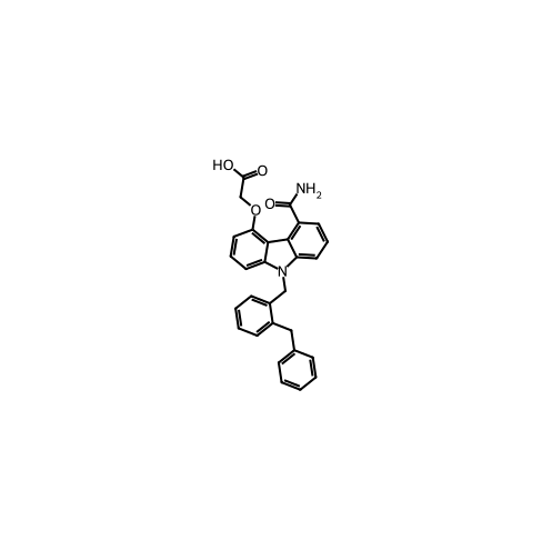 NC(=O)c1cccc2c1c1c(OCC(=O)O)cccc1n2Cc1ccccc1Cc1ccccc1